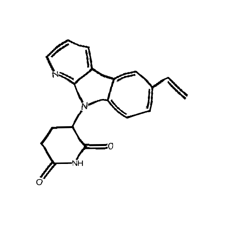 C=Cc1ccc2c(c1)c1cccnc1n2C1CCC(=O)NC1=O